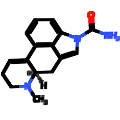 CN1CCC=C2c3cccc4c3c(cn4C(N)=O)C[C@H]21